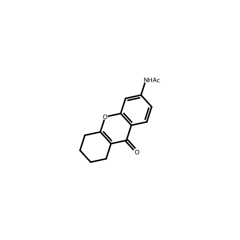 CC(=O)Nc1ccc2c(=O)c3c(oc2c1)CCCC3